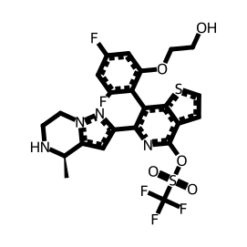 C[C@H]1NCCn2nc(-c3nc(OS(=O)(=O)C(F)(F)F)c4ccsc4c3-c3c(F)cc(F)cc3OCCO)cc21